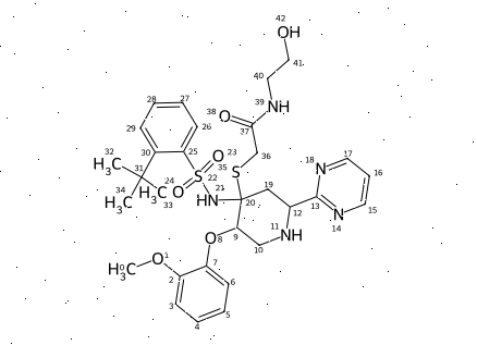 COc1ccccc1OC1CNC(c2ncccn2)CC1(NS(=O)(=O)c1ccccc1C(C)(C)C)SCC(=O)NCCO